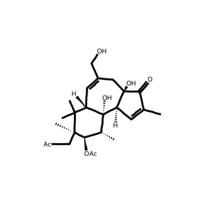 CC(=O)C[C@]1(C)[C@H](OC(C)=O)[C@@H](C)[C@@]2(O)[C@@H](C=C(CO)C[C@]3(O)C(=O)C(C)=C[C@@H]23)C1(C)C